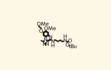 COCCOc1cc2c(cc1OC)nc(NCCCCNC(=O)OC(C)(C)C)c1nnc(C)n12